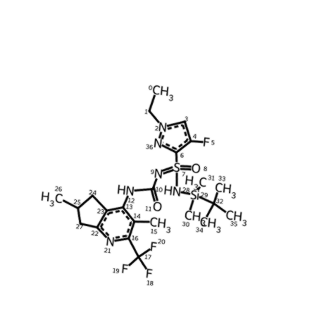 CCn1cc(F)c(S(=O)(=NC(=O)Nc2c(C)c(C(F)(F)F)nc3c2CC(C)C3)N[Si](C)(C)C(C)(C)C)n1